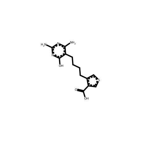 Nc1nc(N)c(CCCCc2cscc2C(=O)O)c(O)n1